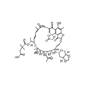 CC(=O)O[C@H]1[C@H](C)[C@H](O)[C@H](C)C[C@@H](C(C)OC(=O)C(C)(C)CC(=O)O)/C=C/C=C(/C)C(=O)NC2=CC3(OCC(=O)O3)c3c(c(O)c(C)c4c3C(=O)[C@@](C)(O/C=C/[C@H](O[C@H]3C[C@@H]5OCO[C@@H]5[C@@H](C)O3)[C@H]1C)O4)C2=O